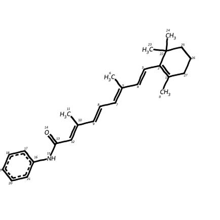 CC1=C(/C=C/C(C)=C/C=C/C(C)=C/C(=O)Nc2ccccc2)C(C)(C)CCC1